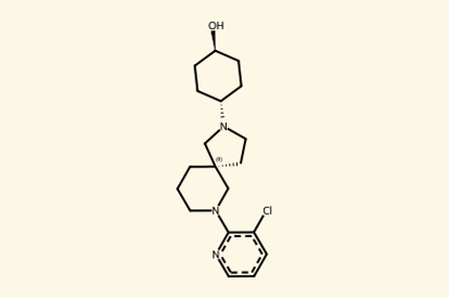 O[C@H]1CC[C@H](N2CC[C@]3(CCCN(c4ncccc4Cl)C3)C2)CC1